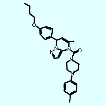 CCCCOc1ccc(C2C=C(C)N(C(=O)N3CCN(c4ccc(F)cc4)CC3)c3ccnn32)cc1